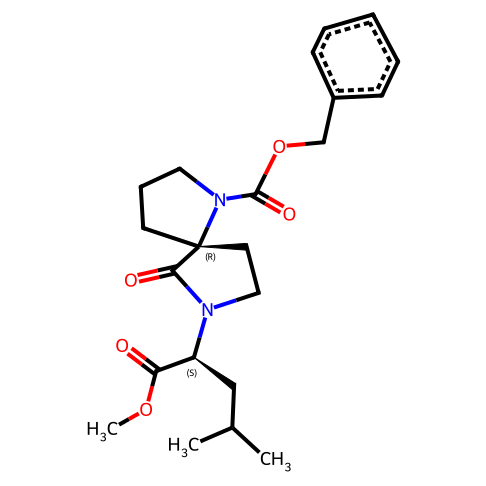 COC(=O)[C@H](CC(C)C)N1CC[C@]2(CCCN2C(=O)OCc2ccccc2)C1=O